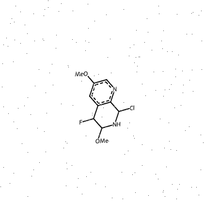 COc1cnc2c(c1)C(F)C(OC)NC2Cl